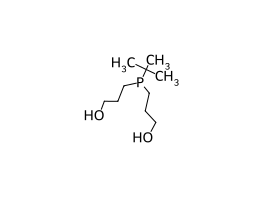 CC(C)(C)P(CCCO)CCCO